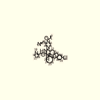 C=CC(=O)N1CCN(C2NC(OCC3CCCN3C)NC3(C4CCCCCCC4)C[C@]4(CCC23)Cc2cc(Cl)ccc2O4)CC1CC#N